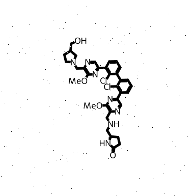 COc1nc(-c2cccc(-c3cccc(-c4cnc(CN5CCC(CO)C5)c(OC)n4)c3Cl)c2Cl)cnc1CNCC1CCC(=O)N1